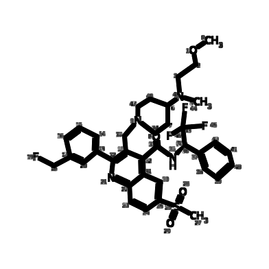 COCCN(C)C1CCN(Cc2c(-c3cccc(CF)c3)nc3ccc(S(C)(=O)=O)cc3c2C(=O)N[C@H](c2ccccc2)C(F)(F)F)CC1